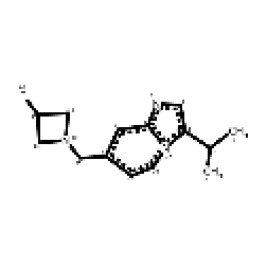 CC(C)c1cnc2cc(CN3CC(F)C3)ccn12